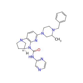 CC1CN(c2ccc3c(n2)N(C(=O)Nc2cnccn2)[C@H]2CCN3C2)CCN1Cc1ccccc1